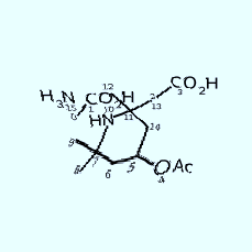 CC(=O)O.CC(=O)O.CC(=O)OC1CC(C)(C)NC(C)(C)C1.N